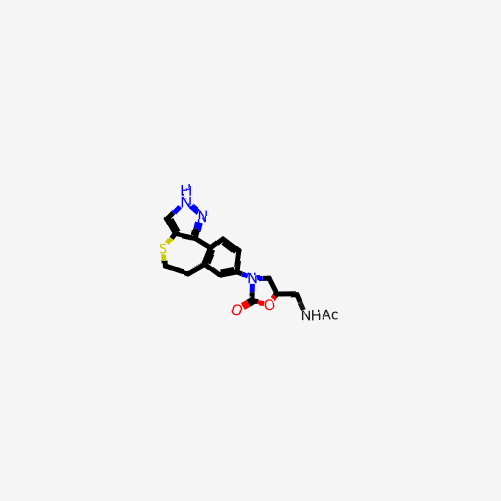 CC(=O)NCC1CN(c2ccc3c(c2)CCSc2c[nH]nc2-3)C(=O)O1